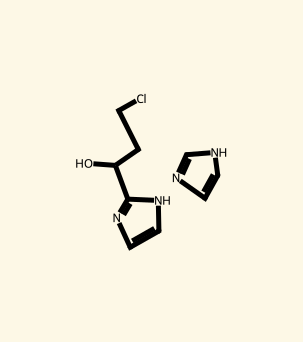 OC(CCCl)c1ncc[nH]1.c1c[nH]cn1